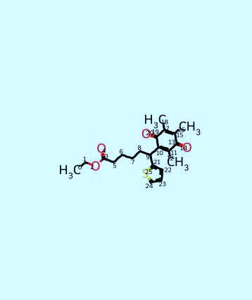 CCOC(=O)CCCCC(C1=C(C)C(=O)C(C)=C(C)C1=O)c1cccs1